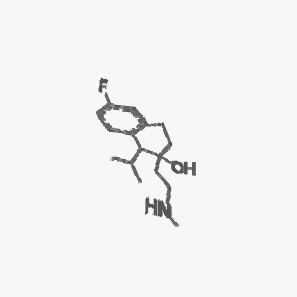 CNCCC1(O)CCc2cc(F)ccc2C1C(C)C